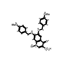 CCn1cc(C(=O)O)c(=O)c2cc(OCc3ccc(OC)cc3)c(OCc3ccc(OC)cc3)cc21